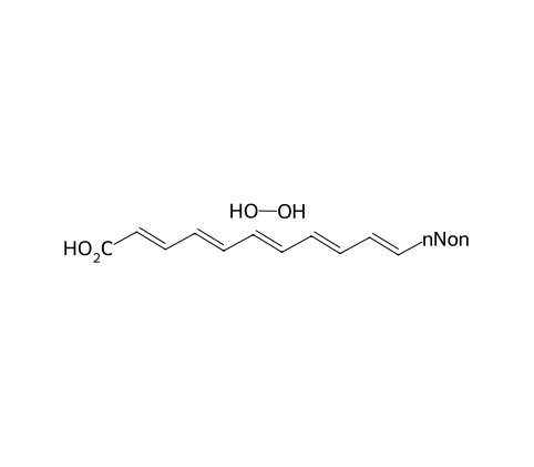 CCCCCCCCCC=CC=CC=CC=CC=CC(=O)O.OO